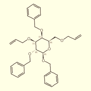 C=CCOC[C@H]1O[C@@H](OCc2ccccc2)[C@H](OCc2ccccc2)[C@@H](OCC=C)[C@H]1OCc1ccccc1